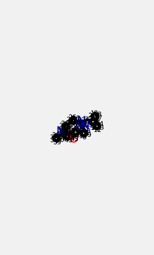 c1ccc(-c2nc(Cc3cc4ccccc4c4ccccc34)nc(-c3cccc(-c4ccc5nc(-c6ccccc6)c6ccc7oc8ccccc8c7c6c5c4)c3)n2)cc1